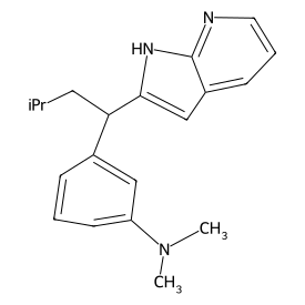 CC(C)CC(c1cccc(N(C)C)c1)c1cc2cccnc2[nH]1